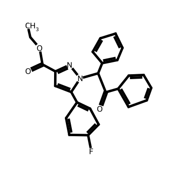 CCOC(=O)c1cc(-c2ccc(F)cc2)n(C(C(=O)c2ccccc2)c2ccccc2)n1